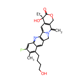 C=C1C2=C(C=C3c4nc5cc(F)c(C)c(CCCCO)c5cc4CN13)[C@@](O)(CC)C(=O)OC2